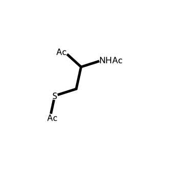 CC(=O)NC(CSC(C)=O)C(C)=O